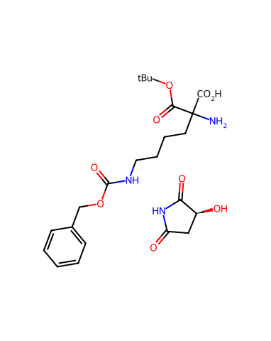 CC(C)(C)OC(=O)C(N)(CCCCNC(=O)OCc1ccccc1)C(=O)O.O=C1C[C@H](O)C(=O)N1